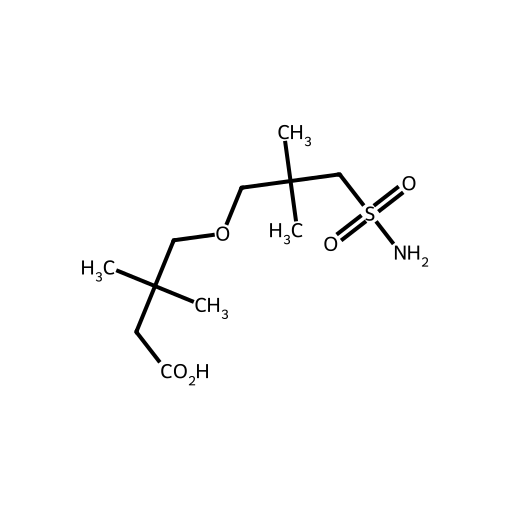 CC(C)(COCC(C)(C)CS(N)(=O)=O)CC(=O)O